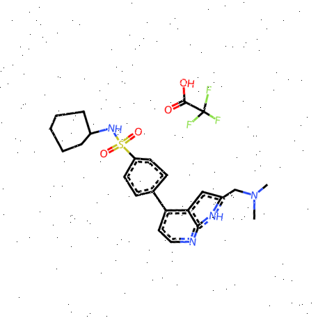 CN(C)Cc1cc2c(-c3ccc(S(=O)(=O)NC4CCCCC4)cc3)ccnc2[nH]1.O=C(O)C(F)(F)F